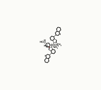 CC1=Cc2c(-c3cnc4ccccc4c3)cccc2[CH]1[Zr]([CH3])(=[SiH2])([c]1ccccc1)[CH]1C(C)=Cc2c(-c3cnc4ccccc4c3)cccc21.Cl.Cl